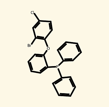 Clc1ccc(Oc2ccccc2P(c2ccccc2)c2ccccc2)c(Br)c1